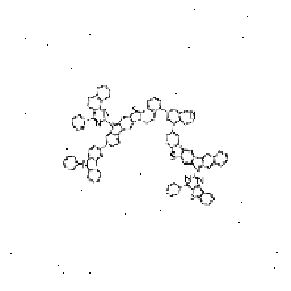 c1ccc(-c2nc(-n3c4cc(-c5ccc6c(c5)c5ccccc5n6-c5ccccc5)ccc4c4cc5c(cc43)sc3c4cccc(-c6cc(-c7ccc8sc9cc%10c(cc9c8c7)c7cc8ccccc8cc7n%10-c7nc(-c8ccccc8)c8sc9ccccc9c8n7)c7ccncc7c6)c4ccc53)nc3c2ccc2ccccc23)cc1